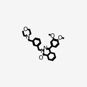 COc1ccc(C2=NN(Cc3cccc(CN4CCOCC4)c3)C(=O)C3CC=CCC23)cc1OC